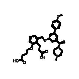 COc1ccc(-c2cc(OCc3cccc(OCCCC(=O)O)c3CCC(=O)O)cc(C(=O)N3CCN(C)CC3)c2)cc1